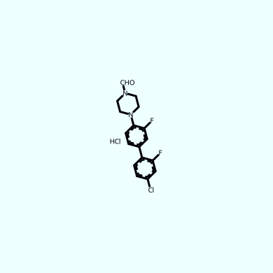 Cl.O=CN1CCN(c2ccc(-c3ccc(Cl)cc3F)cc2F)CC1